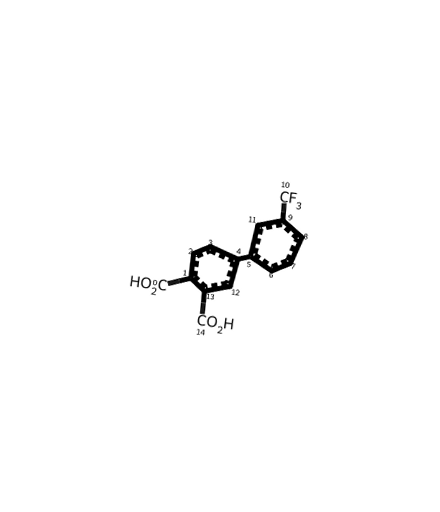 O=C(O)c1ccc(-c2cccc(C(F)(F)F)c2)cc1C(=O)O